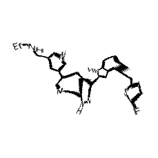 CCNCc1cncc(-c2cnc3[nH]nc(-c4cc5c(-c6ccc(F)s6)cccc5[nH]4)c3c2)c1